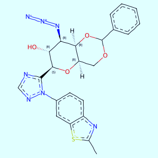 Cc1nc2ccc(-n3ncnc3[C@@H]3O[C@@H]4COC(c5ccccc5)O[C@@H]4[C@H](N=[N+]=[N-])[C@H]3O)cc2s1